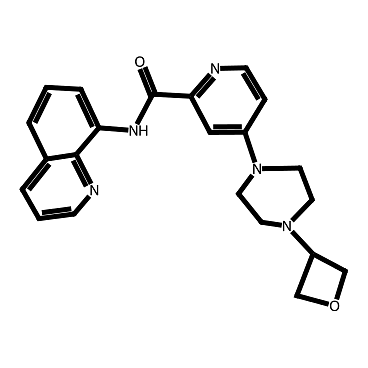 O=C(Nc1cccc2cccnc12)c1cc(N2CCN(C3COC3)CC2)ccn1